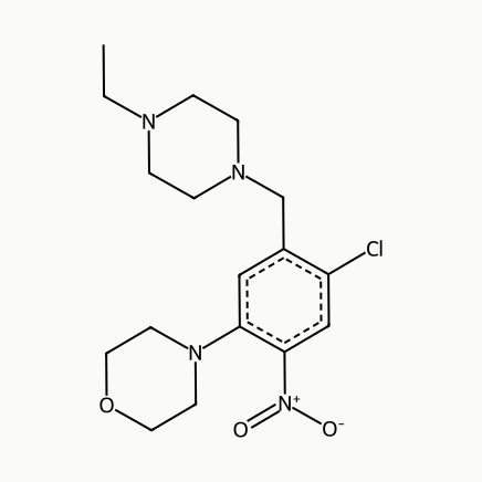 CCN1CCN(Cc2cc(N3CCOCC3)c([N+](=O)[O-])cc2Cl)CC1